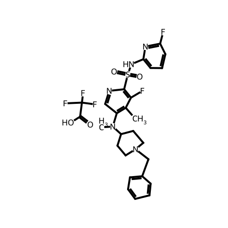 Cc1c(N(C)C2CCN(Cc3ccccc3)CC2)cnc(S(=O)(=O)Nc2cccc(F)n2)c1F.O=C(O)C(F)(F)F